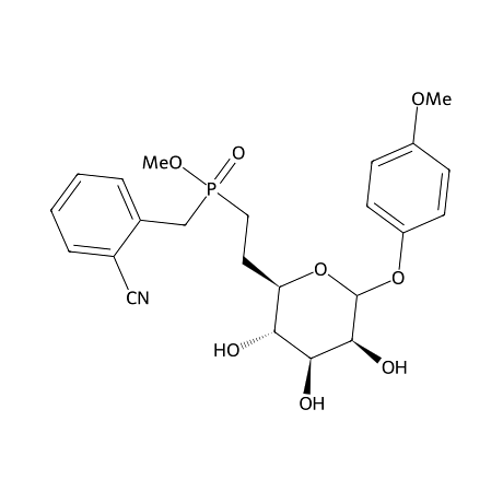 COc1ccc(OC2O[C@H](CCP(=O)(Cc3ccccc3C#N)OC)[C@@H](O)[C@H](O)[C@@H]2O)cc1